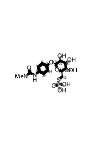 CNC(=O)Nc1ccc(O[C@H]2O[C@H](CSP(=O)(O)O)[C@@H](O)[C@H](O)[C@@H]2O)cc1